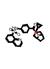 O=C(C1C=CC(NS(=O)(=O)c2cccc3cccnc23)=CC1)N1CC2CCC(C1)N2CC1CC1